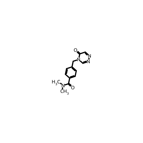 CN(C)C(=O)c1ccc(Cn2cnncc2=O)cc1